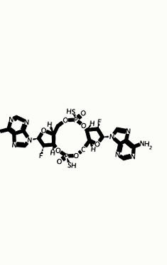 Nc1ncnc2c1ncn2[C@@H]1O[C@@H]2CO[P@@](=O)(S)O[C@H]3[C@H](F)[C@H](n4cnc5c(N)ncnc54)O[C@@H]3CO[P@@](=O)(S)O[C@H]2[C@@H]1F